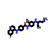 C#C/C(=C\C=N/C)Nc1ccc(NC(=O)c2ccc(Nc3ccnc4ccc(F)cc34)cc2)c(C)c1